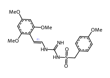 COc1ccc(CS(=O)(=O)NC(=N)N/C=C/c2c(OC)cc(OC)cc2OC)cc1